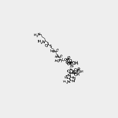 CC(C)(COP(=O)(O)OP(=O)(O)OC[C@H]1O[C@@H](n2cnc3c(N)ncnc32)[C@H](O)[C@@H]1OP(=O)(O)O)[C@@H](O)C(=O)NCCC(=O)NCCSC(=O)CC(N)CCCN